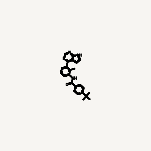 Cc1c(NC(=O)c2ccc(C(C)(C)C)cc2)cccc1-c1ncnc2[nH]ccc12